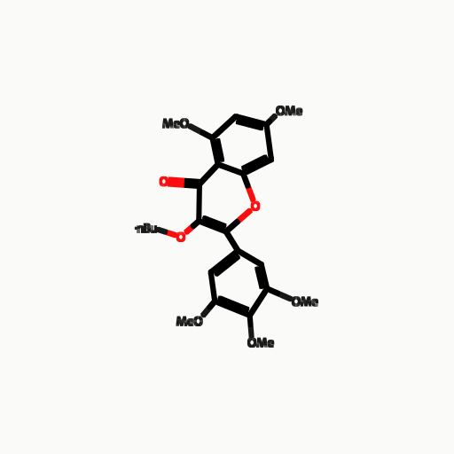 CCC[CH]Oc1c(-c2cc(OC)c(OC)c(OC)c2)oc2cc(OC)cc(OC)c2c1=O